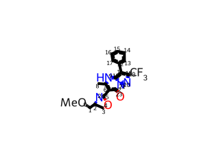 COCC1COC(c2c(C)[nH]c3c(-c4ccccc4)c(C(F)(F)F)nn3c2=O)=N1